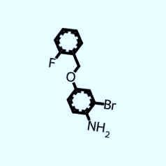 Nc1ccc(OCc2ccccc2F)cc1Br